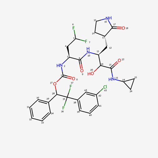 O=C(N[C@@H](CC(F)F)C(=O)N[C@@H](C[C@@H]1CCNC1=O)C(O)C(=O)NC1CC1)OC(c1ccccc1)C(F)(F)c1cccc(Cl)c1